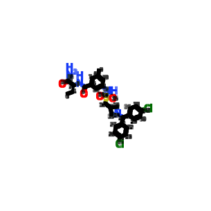 CC[C@H](NC(=O)c1cc(C)cc(NS(=O)(=O)CC2CN(C(c3ccc(Cl)cc3)c3ccc(Cl)cc3)C2)c1)C(N)=O